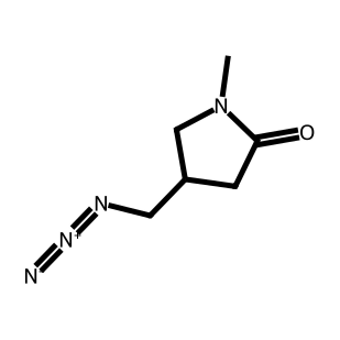 CN1CC(CN=[N+]=[N-])CC1=O